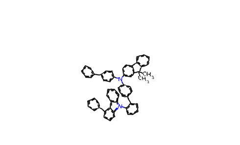 CC1(C)c2ccccc2-c2ccc(N(c3ccc(-c4ccccc4)cc3)c3ccc(-c4ccccc4-n4c5ccccc5c5c(-c6ccccc6)cccc54)cc3)cc21